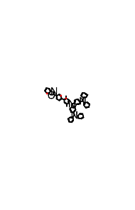 Cc1cc(-n2c3ccc(N(c4ccccc4)c4ccccc4)cc3c3cc(N(c4ccccc4)c4ccccc4)ccc32)c(C)cc1-c1ccc(-c2nc3ccccc3o2)cc1